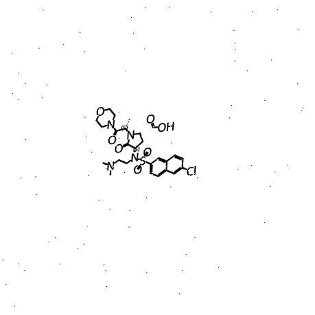 C[C@@H](C(=O)N1CCOCC1)N1CC[C@H](N(CCN(C)C)S(=O)(=O)c2ccc3cc(Cl)ccc3c2)C1=O.O=CO